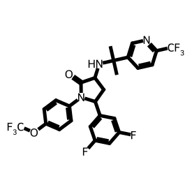 CC(C)(NC1CC(c2cc(F)cc(F)c2)N(c2ccc(OC(F)(F)F)cc2)C1=O)c1ccc(C(F)(F)F)nc1